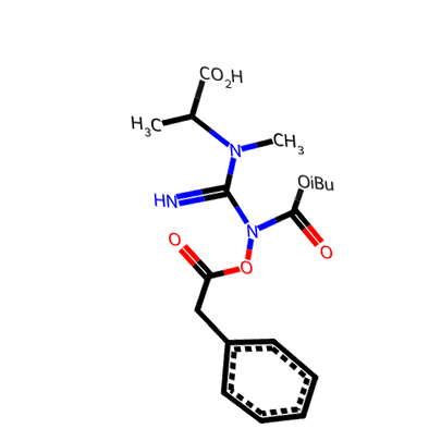 CC(C)COC(=O)N(OC(=O)Cc1ccccc1)C(=N)N(C)C(C)C(=O)O